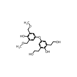 COCc1cc(Oc2cc(CCO)c(O)c(CCO)c2)cc(COC)c1O